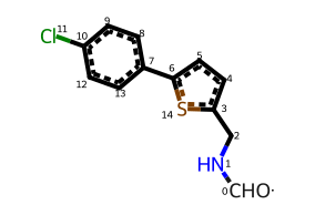 O=[C]NCc1ccc(-c2ccc(Cl)cc2)s1